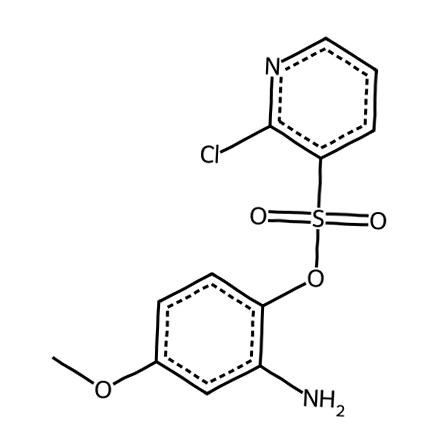 COc1ccc(OS(=O)(=O)c2cccnc2Cl)c(N)c1